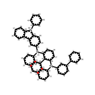 c1ccc(-c2cccc(N(c3ccccc3)c3cccc(N(c4ccccc4)c4ccc5c(c4)c4ccccc4n5-c4ccccc4)c3-c3ccccc3)c2)cc1